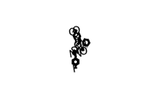 O=C(Nc1nc(-c2ccc(F)cc2)ns1)[C@@H]1CCCCN1C(=O)N1CCS(=O)(=O)CC1